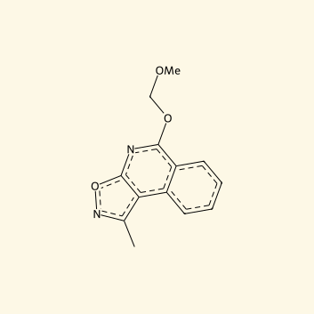 COCOc1nc2onc(C)c2c2ccccc12